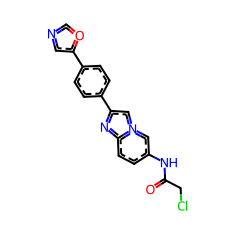 O=C(CCl)Nc1ccc2nc(-c3ccc(-c4cnco4)cc3)cn2c1